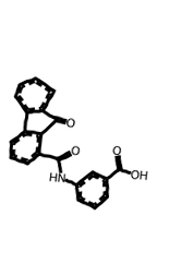 O=C(O)c1cccc(NC(=O)c2cccc3c2C(=O)c2ccccc2-3)c1